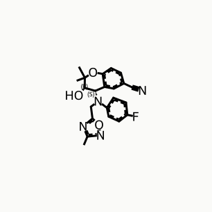 Cc1noc(CN(c2ccc(F)cc2)[C@H]2c3cc(C#N)ccc3OC(C)(C)[C@@H]2O)n1